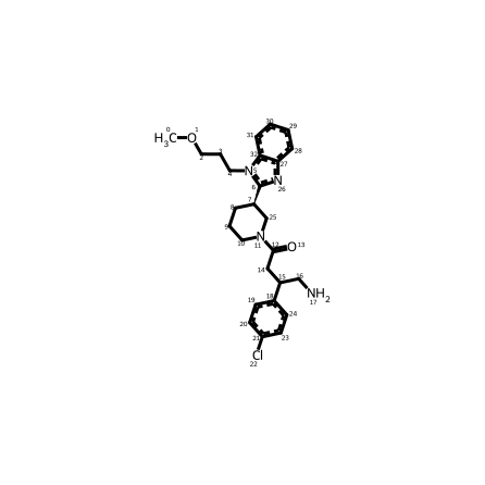 COCCCn1c([C@@H]2CCCN(C(=O)CC(CN)c3ccc(Cl)cc3)C2)nc2ccccc21